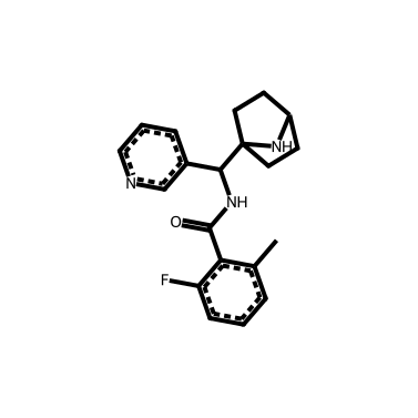 Cc1cccc(F)c1C(=O)NC(c1cccnc1)C12CCC(CC1)N2